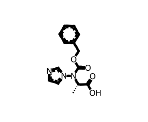 C[C@@H](C(=O)O)N(C(=O)OCc1ccccc1)n1ccnc1